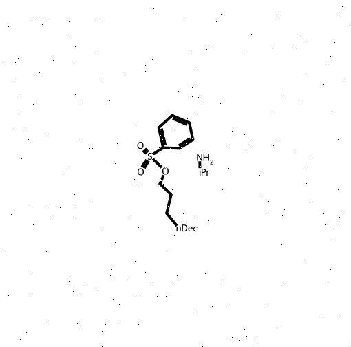 CC(C)N.CCCCCCCCCCCCCOS(=O)(=O)c1ccccc1